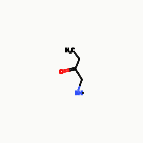 CCC(=O)C[NH]